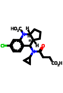 O=C(O)CCC(=O)N(C1CC1)C1c2ccc(Cl)cc2N(C(=O)O)[C@@H]2CCC[C@H]12